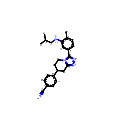 Cc1ccc(-c2nnc3n2CCC(c2ccc(C#N)cc2)C3)cc1NCC(C)C